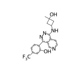 CC1(O)CC(Nc2nnc(-c3ccc(C(F)(F)F)cc3O)c3cnccc23)C1